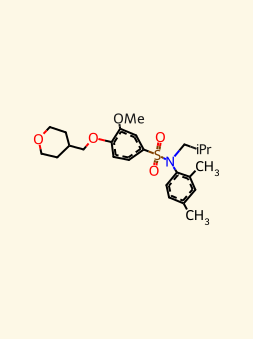 COc1cc(S(=O)(=O)N(CC(C)C)c2ccc(C)cc2C)ccc1OCC1CCOCC1